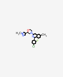 Cc1ccc2c(-c3ccc(Cl)cc3F)nc(N3CCOC(c4cnn(C)c4)C3)cc2c1